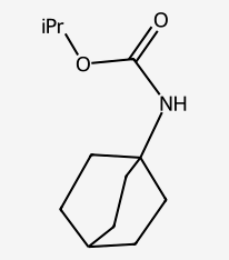 CC(C)OC(=O)NC12CCC(CC1)CC2